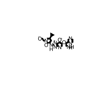 COCCn1cc(C2CC2)cc(Nc2nc3ncc(O/C(C=N)=C4\C=NC=CN4)c(OC)c3n2C)c1=O